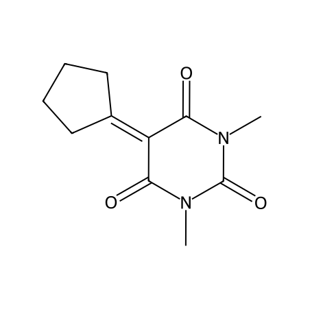 CN1C(=O)C(=C2CCCC2)C(=O)N(C)C1=O